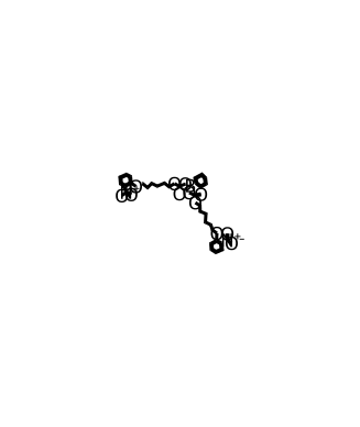 O=C(OCCCCCCOc1ccccc1[N+](=O)[O-])OB(OC(=O)OCCCCCCOc1ccccc1[N+](=O)[O-])c1ccccc1